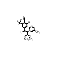 C=N/C(CC)=C(/C(=C)c1cc(Br)c(C#N)c(C(F)(F)F)c1)N1C=C(C)C=NC1